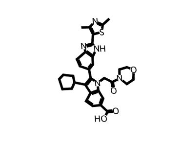 Cc1nc(C)c(-c2nc3ccc(-c4c(C5CCCCC5)c5ccc(C(=O)O)cc5n4CC(=O)N4CCOCC4)cc3[nH]2)s1